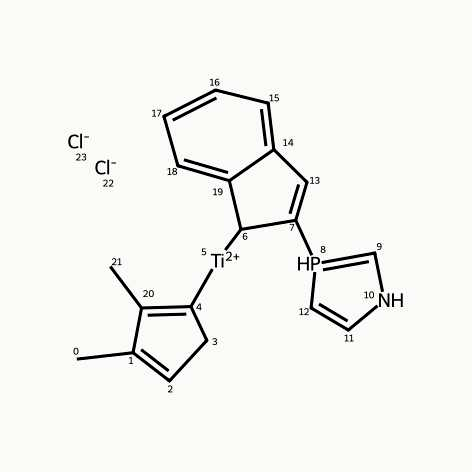 CC1=CC[C]([Ti+2][CH]2C([PH]3=CNC=C3)=Cc3ccccc32)=C1C.[Cl-].[Cl-]